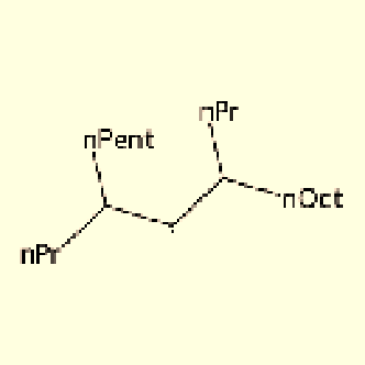 CCCCCCCCC([CH]C(CCC)CCCCC)CCC